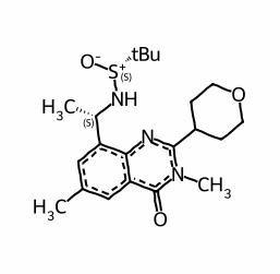 Cc1cc([C@H](C)N[S@+]([O-])C(C)(C)C)c2nc(C3CCOCC3)n(C)c(=O)c2c1